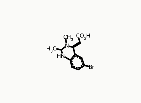 CC1Nc2ccc(Br)cc2/C(=C/C(=O)O)N1C